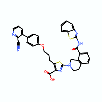 N#Cc1ncccc1-c1ccc(OCCCc2sc(N3CCc4cccc(C(=O)Nc5nc6ccccc6s5)c4C3)nc2C(=O)O)cc1